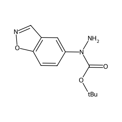 CC(C)(C)OC(=O)N(N)c1ccc2oncc2c1